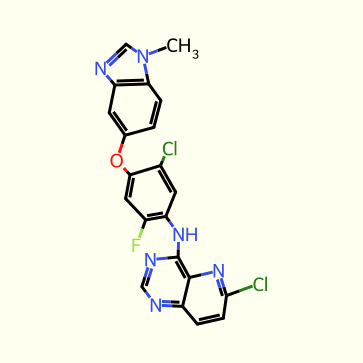 Cn1cnc2cc(Oc3cc(F)c(Nc4ncnc5ccc(Cl)nc45)cc3Cl)ccc21